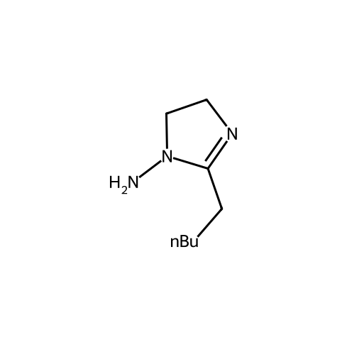 CCCCCC1=NCCN1N